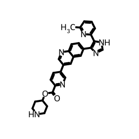 Cc1cccc(-c2[nH]cnc2-c2ccc3ncc(-c4ccc(C(=O)OC5CCNCC5)nc4)cc3c2)n1